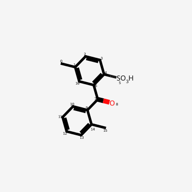 Cc1ccc(S(=O)(=O)O)c(C(=O)c2ccccc2C)c1